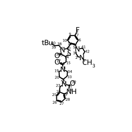 CN1CCN(c2cc(F)ccc2C2SC(CC(=O)N3CCC(N4Cc5ccccc5NC4=O)CC3)C(=O)N2CCC(C)(C)C)CC1